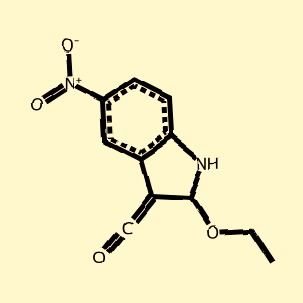 CCOC1Nc2ccc([N+](=O)[O-])cc2C1=C=O